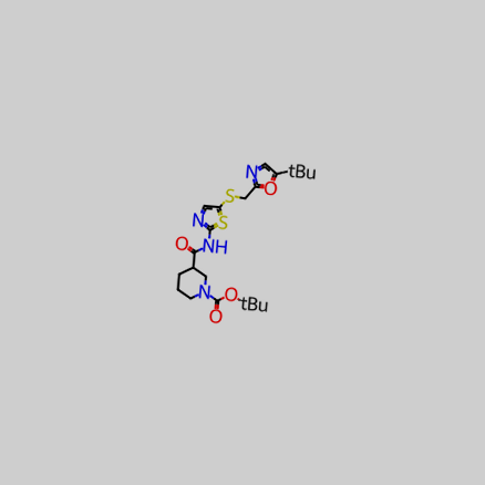 CC(C)(C)OC(=O)N1CCCC(C(=O)Nc2ncc(SCc3ncc(C(C)(C)C)o3)s2)C1